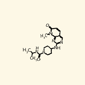 CC(C)NC(=O)N1CCC(Nc2ncc3ccc(=O)n(C)c3n2)CC1